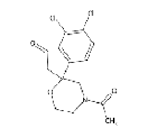 CC(=O)N1CCOC(CC=O)(c2ccc(Cl)c(Cl)c2)C1